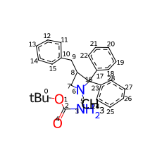 CC(C)(C)OC(N)=O.CN1CC(Cc2ccccc2)C1(c1ccccc1)c1ccccc1